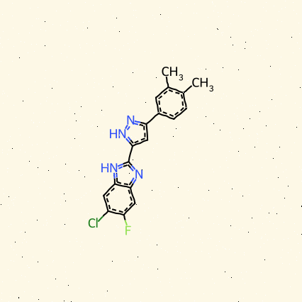 Cc1ccc(-c2cc(-c3nc4cc(F)c(Cl)cc4[nH]3)[nH]n2)cc1C